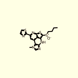 CCCC[S+]([O-])c1sc2nc(-c3nccs3)cc3c2c1Nc1ncn(C)c1-3